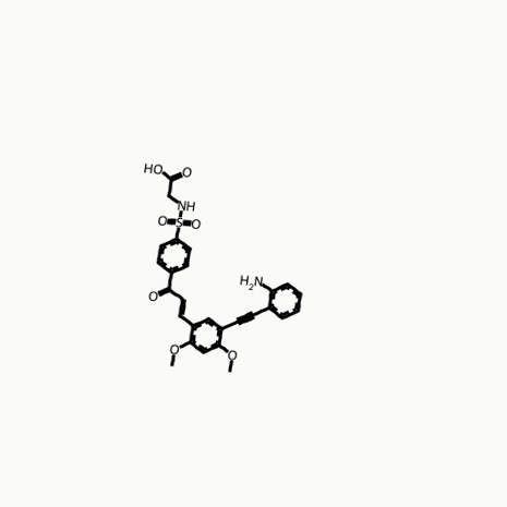 COc1cc(OC)c(C=CC(=O)c2ccc(S(=O)(=O)NCC(=O)O)cc2)cc1C#Cc1ccccc1N